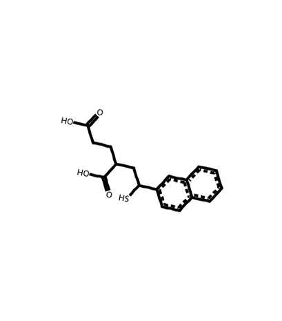 O=C(O)CCC(CC(S)c1ccc2ccccc2c1)C(=O)O